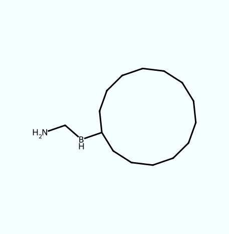 NCBC1CCCCCCCCCCCCC1